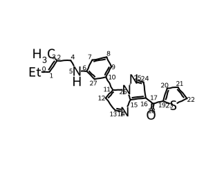 CCC=C(C)CNc1cccc(-c2ccnc3c(C(=O)c4cccs4)cnn23)c1